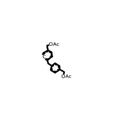 CC(=O)OCc1ccc(Cc2ccc(COC(C)=O)cc2)cc1